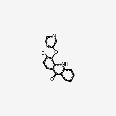 O=c1c2ccccc2[nH]c2c(Oc3cnccn3)c(Cl)ccc12